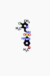 COc1ccc2[nH]c(S(=O)(=O)NCc3ncc(C)c(Cl)c3C)nc2c1